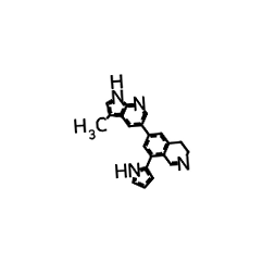 Cc1c[nH]c2ncc(-c3cc4c(c(-c5ccc[nH]5)c3)C=NCC4)cc12